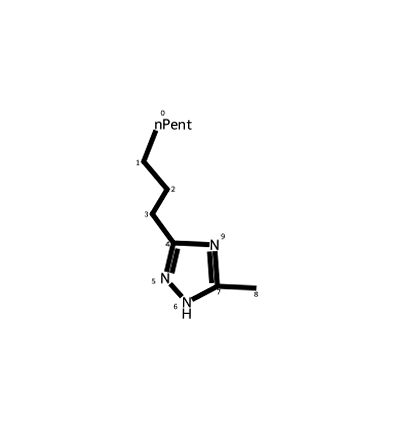 CCCCCCCCc1n[nH]c(C)n1